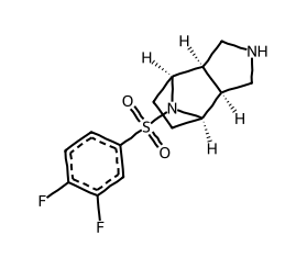 O=S(=O)(c1ccc(F)c(F)c1)N1[C@@H]2CC[C@H]1[C@H]1CNC[C@H]12